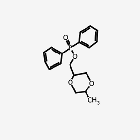 CC1COC(COP(=O)(c2ccccc2)c2ccccc2)CO1